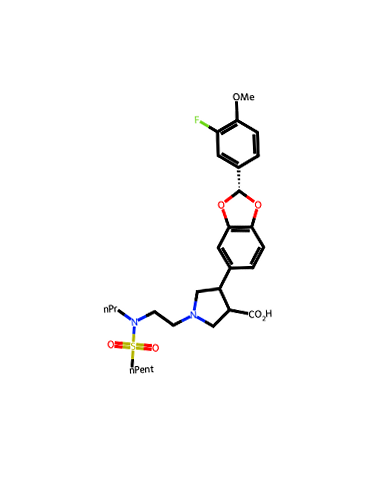 CCCCCS(=O)(=O)N(CCC)CCN1CC(C(=O)O)C(c2ccc3c(c2)O[C@H](c2ccc(OC)c(F)c2)O3)C1